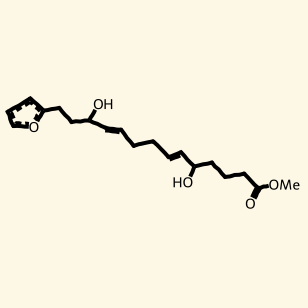 COC(=O)CCCC(O)C=CCCC=CC(O)CCc1ccco1